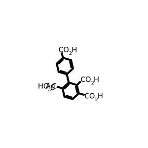 O=C(O)c1ccc(-c2c(C(=O)O)ccc(C(=O)O)c2C(=O)O)cc1.[Ag]